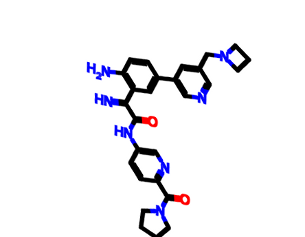 N=C(C(=O)Nc1ccc(C(=O)N2CCCC2)nc1)c1cc(-c2cncc(CN3CCC3)c2)ccc1N